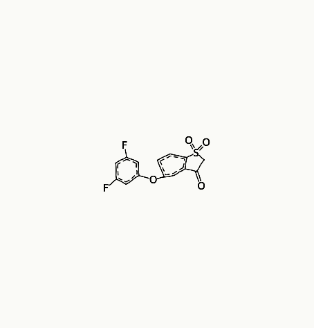 O=C1CS(=O)(=O)c2ccc(Oc3cc(F)cc(F)c3)cc21